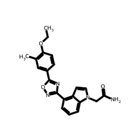 CCOc1ccc(-c2nc(-c3cccc4c3ccn4CC(N)=O)no2)cc1C